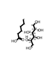 CCCCCC(=O)O.OC[C@@H](O)[C@H](O)[C@H](O)[C@@H](O)CO